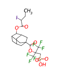 CCC(I)C(=O)OC1C2CC3CC1CC(C(=O)OC(CS(=O)(=O)O)(C(F)(F)F)C(F)(F)F)(C3)C2